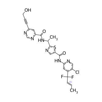 C/C=C/C(F)(F)c1cc(NC(=O)c2cnc(C(C)NC(=O)c3cc(C#CCO)ncn3)s2)ncc1Cl